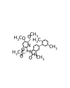 COCc1nc([C@@H](CS(C)(=O)=O)n2c(=O)n(C)c3cc(-c4cc(C)ccc4C)ccc32)ccc1OC